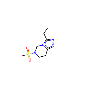 CCc1nnc2n1CN(S(C)(=O)=O)CC2